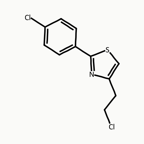 ClCCc1csc(-c2ccc(Cl)cc2)n1